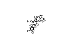 CN1c2nc(N[C@H]3CC[C@@H](CO)C3)n(C)c2C(=O)N(Cc2ccc(Cl)c(Cl)c2)C1O